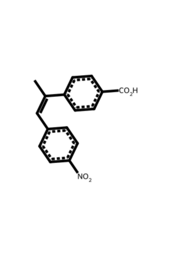 CC(=Cc1ccc([N+](=O)[O-])cc1)c1ccc(C(=O)O)cc1